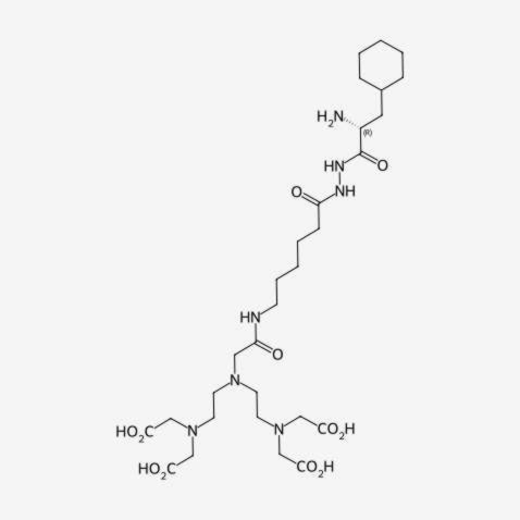 N[C@H](CC1CCCCC1)C(=O)NNC(=O)CCCCCNC(=O)CN(CCN(CC(=O)O)CC(=O)O)CCN(CC(=O)O)CC(=O)O